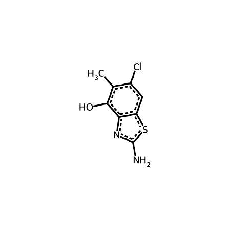 Cc1c(Cl)cc2sc(N)nc2c1O